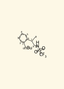 CCCCc1ccccc1C(C)CNS(=O)(=O)C(F)(F)F